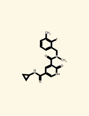 Cc1cccc(CN(C)C(=O)c2cc(C(=O)NC3CC3)c[nH]c2=O)c1F